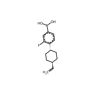 C=C[C@H]1CC[C@H](c2ccc(B(O)O)cc2F)CC1